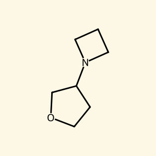 C1CN(C2CCOC2)C1